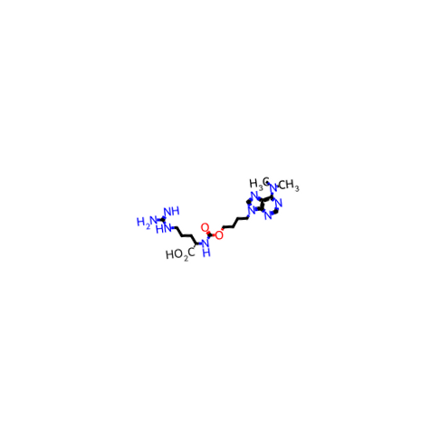 CN(C)c1ncnc2c1ncn2CCCCOC(=O)N[C@@H](CCCNC(=N)N)C(=O)O